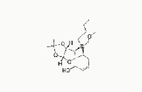 CCCCO[C@@H]1[C@H]2OC(C)(C)O[C@H]2OC12[C@H](O)C=CC[C@@H]2OCOC